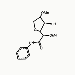 CO[C@@H]1CO[C@H]([C@@H](OC)C(=O)Nc2ccccc2)[C@@H]1O